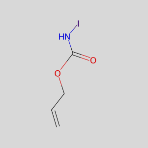 C=CCOC(=O)NI